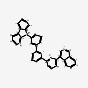 c1cc(-c2cccc(-c3cccc(-c4cncc5ccccc45)n3)n2)cc(-n2c3ccccc3c3cccnc32)c1